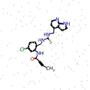 CC#CC(=O)Nc1cc(Cl)ccc1CNC(=S)NCc1ccnc2[nH]ccc12